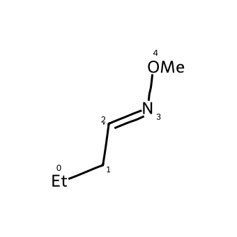 CCC/[C]=N/OC